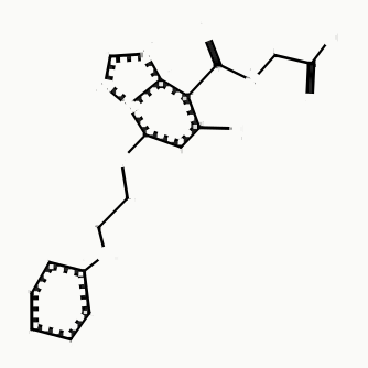 O=C(O)CNC(=O)c1c(O)cc(OCCOc2ccccc2)n2ncnc12